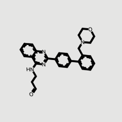 O=CCCNc1nc(-c2ccc(-c3ccccc3CN3CCOCC3)cc2)nc2ccccc12